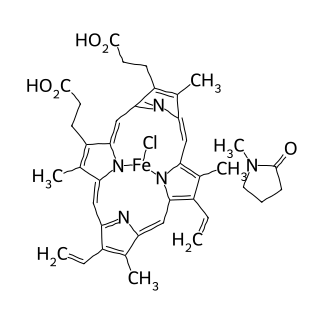 C=CC1=C(C)/C2=C/c3c(C=C)c(C)c4[n]3[Fe]([Cl])[n]3/c(c(C)c(CCC(=O)O)/c3=C/C3=NC(=C\4)/C(C)=C3CCC(=O)O)=C\C1=N2.CN1CCCC1=O